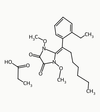 CCC(=O)O.CCCCCCC(=C1N(OC)C(=O)C(=O)N1OC)c1ccccc1CC